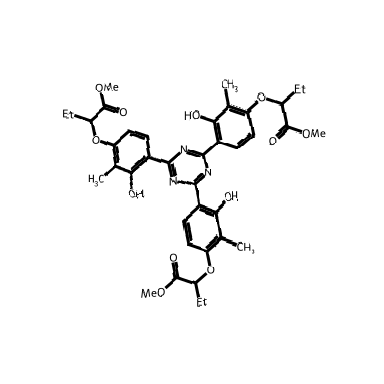 CCC(Oc1ccc(-c2nc(-c3ccc(OC(CC)C(=O)OC)c(C)c3O)nc(-c3ccc(OC(CC)C(=O)OC)c(C)c3O)n2)c(O)c1C)C(=O)OC